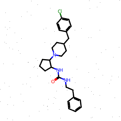 O=C(NCCc1ccccc1)NC1CCCC1N1CCC(Cc2ccc(Cl)cc2)CC1